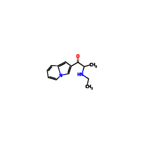 CCNC(C)C(=O)c1cc2ccccn2c1